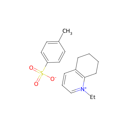 CC[n+]1cccc2c1CCCC2.Cc1ccc(S(=O)(=O)[O-])cc1